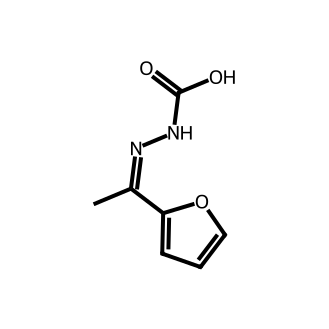 C/C(=N/NC(=O)O)c1ccco1